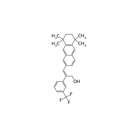 CC1(C)CCC(C)(C)c2cc3cc(/C=C(\CO)c4cccc(C(F)(F)F)c4)ccc3cc21